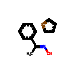 CC(=NO)c1ccccc1.c1ccsc1